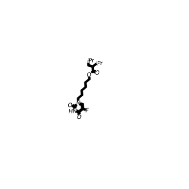 CC(C)CC(C(=O)OCCCCCCn1cc(F)c(=O)[nH]c1=O)C(C)C